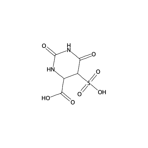 O=C1NC(=O)C(S(=O)(=O)O)C(C(=O)O)N1